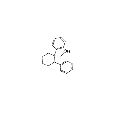 OCC1(c2ccccc2)CCCCC1c1ccccc1